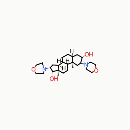 C[C@]12C[C@H](N3CCOCC3)[C@@H](O)C[C@@H]1CC[C@@H]1[C@@H]2CC[C@]2(C)[C@H](O)[C@@H](N3CCOCC3)C[C@@H]12